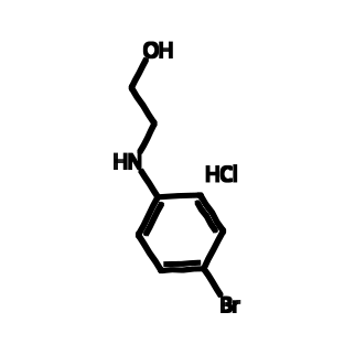 Cl.OCCNc1ccc(Br)cc1